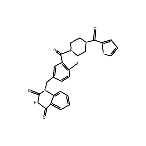 O=C(c1cccs1)N1CCN(C(=O)c2cc(Cn3c(=O)[nH]c(=O)c4ccccc43)ccc2F)CC1